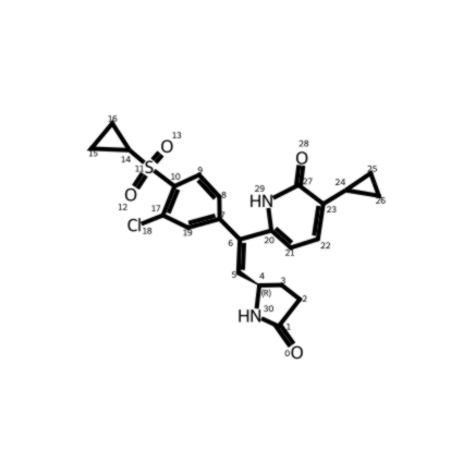 O=C1CC[C@H](C=C(c2ccc(S(=O)(=O)C3CC3)c(Cl)c2)c2ccc(C3CC3)c(=O)[nH]2)N1